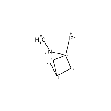 CC(C)C12CC(CN1C)C2